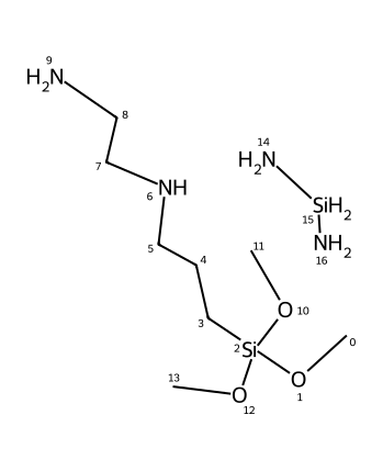 CO[Si](CCCNCCN)(OC)OC.N[SiH2]N